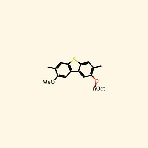 CCCCCCCCOc1cc2c(cc1C)sc1cc(C)c(OC)cc12